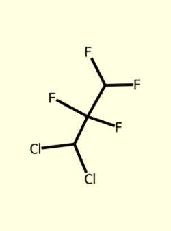 FC(F)C(F)(F)C(Cl)Cl